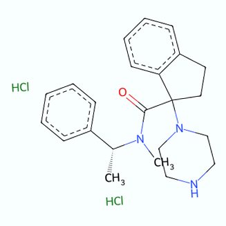 C[C@H](c1ccccc1)N(C)C(=O)C1(N2CCNCC2)CCc2ccccc21.Cl.Cl